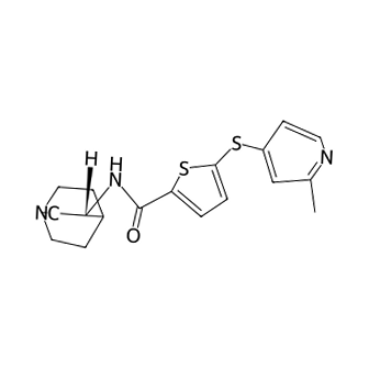 Cc1cc(Sc2ccc(C(=O)N[C@H]3CN4CCC3CC4)s2)ccn1